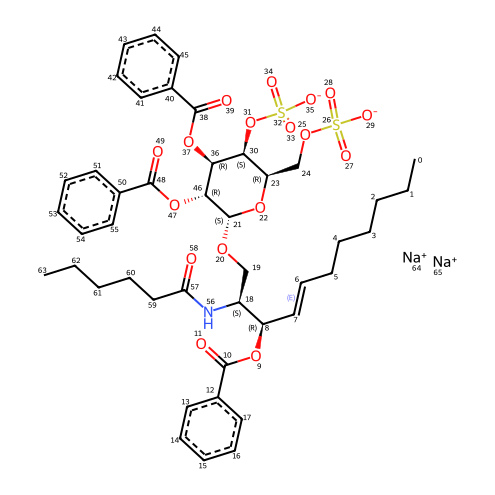 CCCCCC/C=C/[C@@H](OC(=O)c1ccccc1)[C@H](CO[C@H]1O[C@H](COS(=O)(=O)[O-])[C@H](OS(=O)(=O)[O-])[C@H](OC(=O)c2ccccc2)[C@H]1OC(=O)c1ccccc1)NC(=O)CCCCC.[Na+].[Na+]